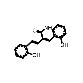 NC(=O)C(C=Cc1ccccc1O)=Cc1ccccc1O